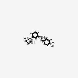 COc1ccc(CNc2cccc(N3NCCN3)c2)cc1